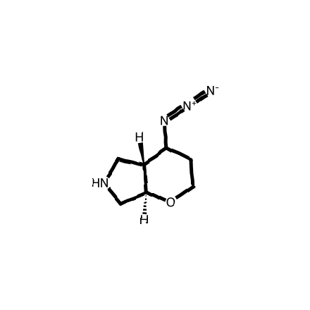 [N-]=[N+]=NC1CCO[C@H]2CNC[C@H]12